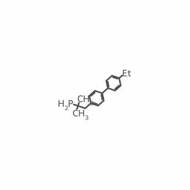 CCc1ccc(-c2ccc(CC(C)(C)P)cc2)cc1